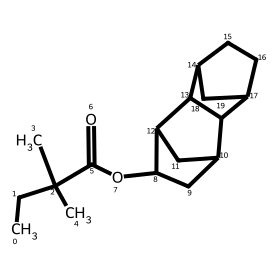 CCC(C)(C)C(=O)OC1CC2CC1C1C3CCC(C3)C21